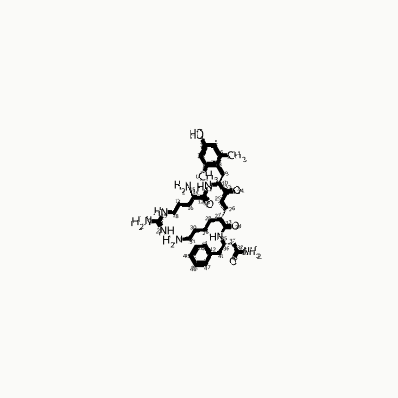 Cc1cc(O)cc(C)c1C[C@H](NC(=O)[C@H](N)CCCNC(=N)N)C(=O)CC[C@@H](CCCCN)C(=O)N[C@H](CC(N)=O)Cc1ccccc1